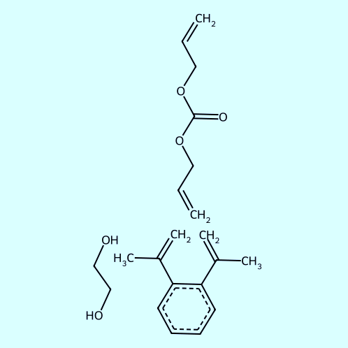 C=C(C)c1ccccc1C(=C)C.C=CCOC(=O)OCC=C.OCCO